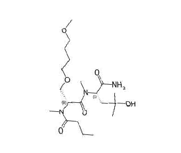 CCCC(=O)N(C)[C@H](COCCCCOC)C(=O)N(C)[C@@H](CC(C)(C)O)C(N)=O